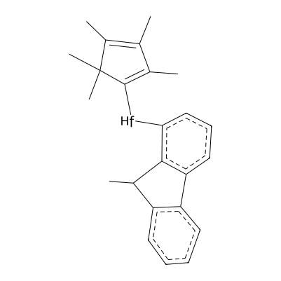 CC1=C(C)C(C)(C)[C]([Hf][c]2cccc3c2C(C)c2ccccc2-3)=C1C